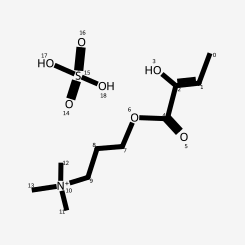 CC=C(O)C(=O)OCCC[N+](C)(C)C.O=S(=O)(O)O